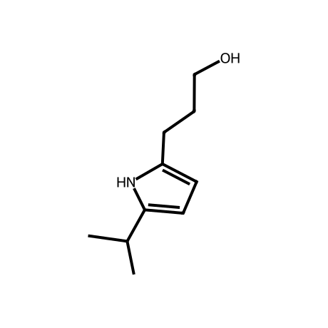 CC(C)c1ccc(CCCO)[nH]1